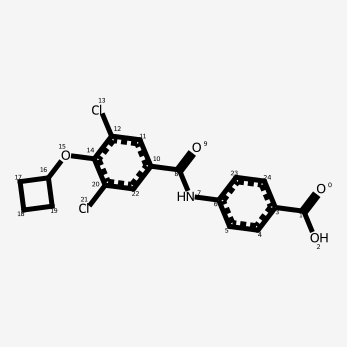 O=C(O)c1ccc(NC(=O)c2cc(Cl)c(OC3CCC3)c(Cl)c2)cc1